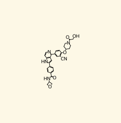 N#Cc1cc(-c2nccc3[nH]c(-c4ccc(C(=O)NC5COC5)cc4)cc23)ccc1OC1CCN(C(=O)CO)CC1